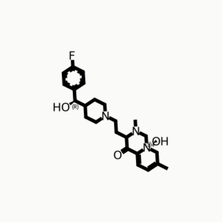 CC1=CC=C2C(=O)C(CCN3CCC([C@@H](O)c4ccc(F)cc4)CC3)N(C)C[N@+]2(O)C1